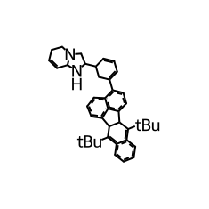 CC(C)(C)C1=c2ccccc2=C(C(C)(C)C)C2c3ccc(C4=CC=CC(C5CN6CCC=CC6N5)C4)c4cccc(c34)C12